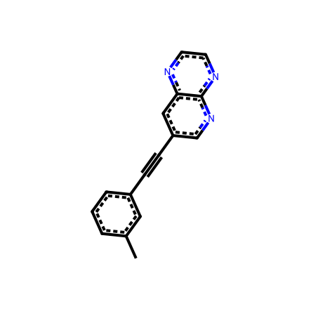 Cc1cccc(C#Cc2cnc3nccnc3c2)c1